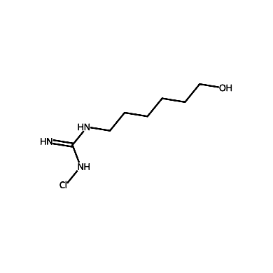 N=C(NCl)NCCCCCCO